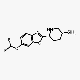 FC(F)Oc1ccc2nc([C@H]3CCC([SiH3])CN3)oc2c1